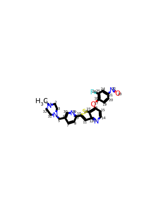 CN1CCN(Cc2ccc(-c3cc4nccc(Oc5ccc(N=O)cc5F)c4s3)nc2)CC1